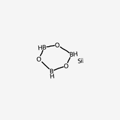 B1OBOBO1.[Si]